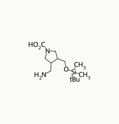 CC(C)(C)[Si](C)(C)OCC1CN(C(=O)O)CC1CN